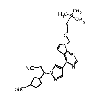 C[Si](C)(C)CCOCn1ccc2c(-c3cnn(C(CC#N)C4CCC(C=O)C4)c3)ncnc21